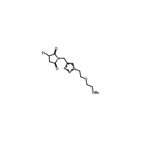 CCC1CC(=O)N(Cc2cn(CCOCCOCC(C)C)nn2)C1=O